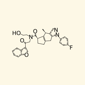 C[C@@H]1C2=C(CC[C@H]2C(=O)N(CCO)CC(=O)c2coc3ccccc23)Cc2c1cnn2-c1ccc(F)cc1